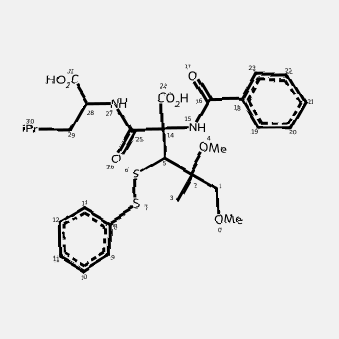 COCC(C)(OC)C(SSc1ccccc1)C(NC(=O)c1ccccc1)(C(=O)O)C(=O)NC(CC(C)C)C(=O)O